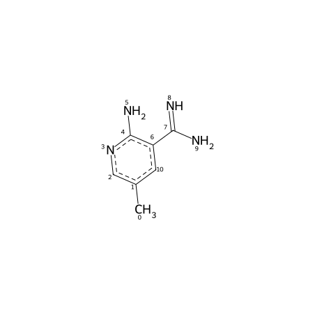 Cc1cnc(N)c(C(=N)N)c1